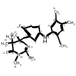 Cc1cc(C)c(Nc2ccc(F)c(C3(C)N=C(N)N(C)C(=O)C3(C)C)c2)cc1C